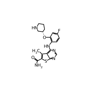 Cc1c(C(N)=O)sc2ncnc(Nc3ccc(F)cc3O[C@H]3CCCNC3)c12